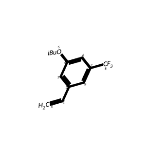 C=[C]c1cc(OCC(C)C)cc(C(F)(F)F)c1